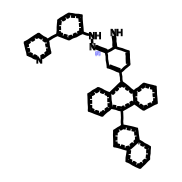 N=C1C=CC(c2c3ccccc3c(-c3ccc4ccccc4c3)c3ccccc23)=C/C1=N/Nc1cccc(-c2cccnc2)c1